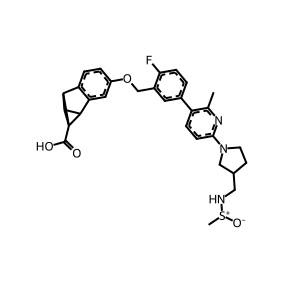 Cc1nc(N2CCC(CN[S+](C)[O-])C2)ccc1-c1ccc(F)c(COc2ccc3c(c2)C2C4C3C24C(=O)O)c1